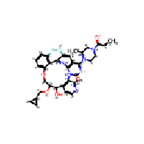 C=CC(=O)N1CCN(c2nc(=O)n3c4nc(c(F)cc24)-c2c(F)cccc2OCC(OCC2CC2)C(O)c2ccnc(C(C)C)c2-3)[C@@H](C)C1